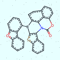 O=C1Oc2cccc3ccc4c(c23)N1c1c(sc2ccccc12)B4c1cccc2oc3ccccc3c12